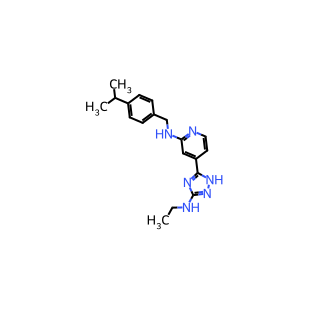 CCNc1n[nH]c(-c2ccnc(NCc3ccc(C(C)C)cc3)c2)n1